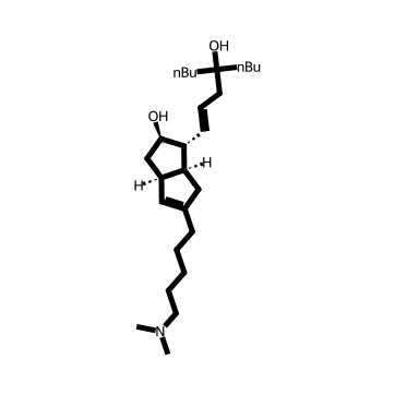 CCCCC(O)(C/C=C/[C@@H]1[C@H]2CC(CCCCCN(C)C)=C[C@H]2C[C@H]1O)CCCC